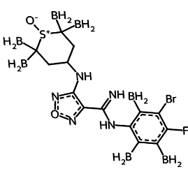 Bc1c(B)c(NC(=N)c2nonc2NC2CC(B)(B)[S+]([O-])C(B)(B)C2)c(B)c(Br)c1F